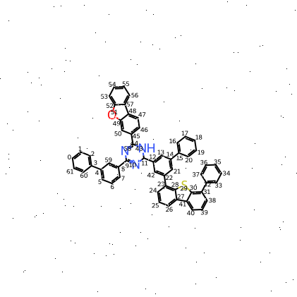 c1ccc(-c2cccc(C3=NC(c4cc(-c5ccccc5)cc(-c5cccc6c5sc5c(-c7ccccc7)cccc56)c4)NC(c4ccc5c(c4)oc4ccccc45)=N3)c2)cc1